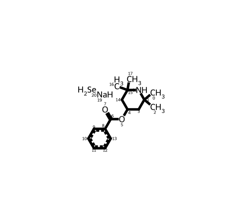 CC1(C)CC(OC(=O)c2ccccc2)CC(C)(C)N1.[NaH].[SeH2]